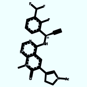 C#C[C@@H](Nc1ncnc2c1cc(C1=CN(C(C)=O)CC1)c(=O)n2C)c1cccc(C(F)F)c1F